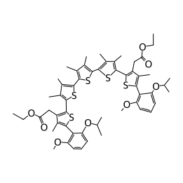 CCOC(=O)Cc1c(-c2sc(-c3sc(-c4sc(-c5sc(-c6c(OC)cccc6OC(C)C)c(C)c5CC(=O)OCC)c(C)c4C)c(C)c3C)c(C)c2C)sc(-c2c(OC)cccc2OC(C)C)c1C